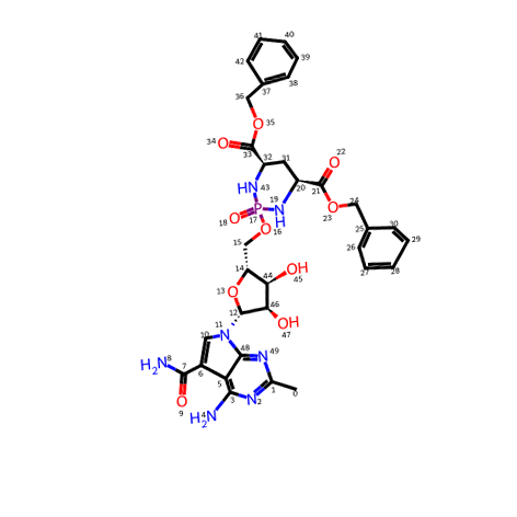 Cc1nc(N)c2c(C(N)=O)cn([C@@H]3O[C@H](COP4(=O)N[C@H](C(=O)OCc5ccccc5)C[C@H](C(=O)OCc5ccccc5)N4)[C@@H](O)[C@H]3O)c2n1